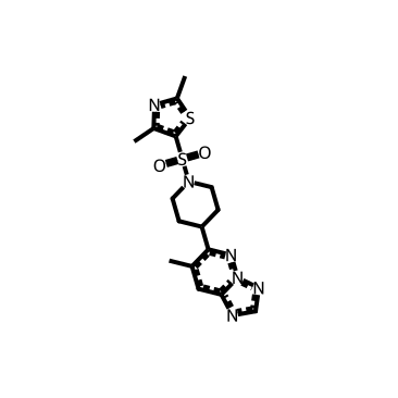 Cc1nc(C)c(S(=O)(=O)N2CCC(c3nn4ncnc4cc3C)CC2)s1